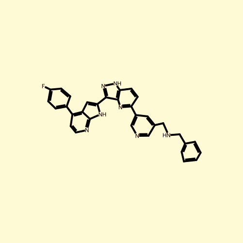 Fc1ccc(-c2ccnc3[nH]c(-c4n[nH]c5ccc(-c6cncc(CNCc7ccccc7)c6)nc45)cc23)cc1